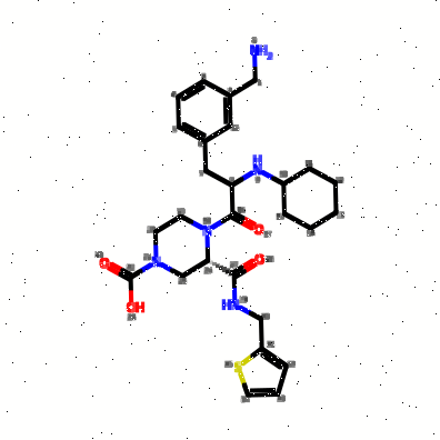 NCc1cccc(CC(NC2CCCCC2)C(=O)N2CCN(C(=O)O)C[C@H]2C(=O)NCc2cccs2)c1